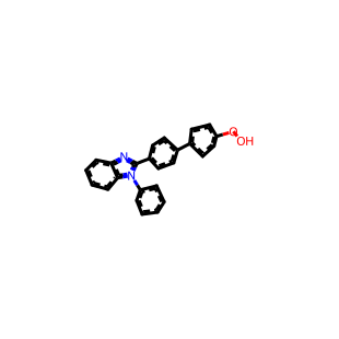 OOc1ccc(-c2ccc(-c3nc4ccccc4n3-c3ccccc3)cc2)cc1